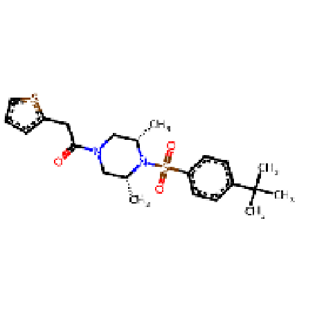 C[C@@H]1CN(C(=O)Cc2cccs2)C[C@H](C)N1S(=O)(=O)c1ccc(C(C)(C)C)cc1